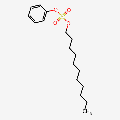 CCCCCCCCCCCOS(=O)(=O)Oc1ccccc1